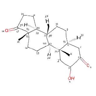 C[C@]12CC(O)C(=O)C[C@@H]1CC[C@@H]1[C@@H]2CC[C@]2(C)C(=O)CC[C@@H]12